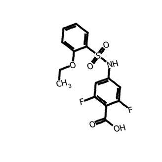 CCOc1ccccc1S(=O)(=O)Nc1cc(F)c(C(=O)O)c(F)c1